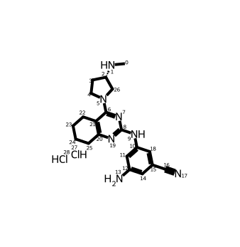 CN[C@H]1CCN(c2nc(Nc3cc(N)cc(C#N)c3)nc3c2CCCC3)C1.Cl.Cl